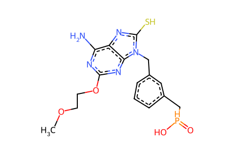 COCCOc1nc(N)c2nc(S)n(Cc3cccc(C[PH](=O)O)c3)c2n1